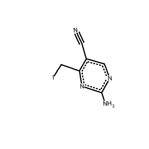 N#Cc1cnc(N)nc1CI